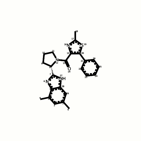 Cc1cc(C)c2nc([C@@H]3CCCN3C(=O)c3nc(C)sc3-c3ccccc3)[nH]c2c1